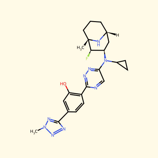 Cn1nnc(-c2ccc(-c3ncc(N(C4CC4)[C@@H]4C[C@H]5CCC[C@](C)(N5)[C@@H]4F)nn3)c(O)c2)n1